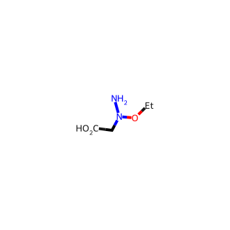 CCON(N)CC(=O)O